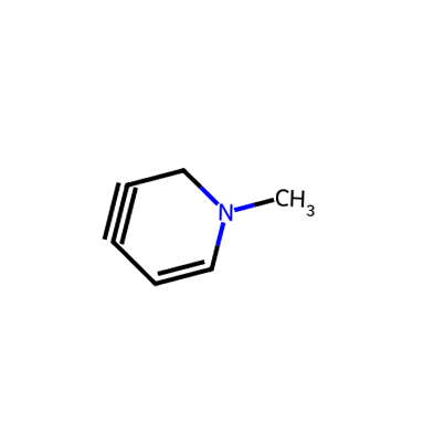 CN1C=CC#CC1